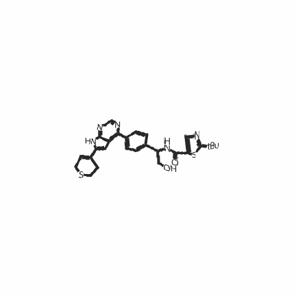 CC(C)(C)c1ncc(C(=O)NC(CO)c2ccc(-c3ncnc4[nH]c(C5=CCSCC5)cc34)cc2)s1